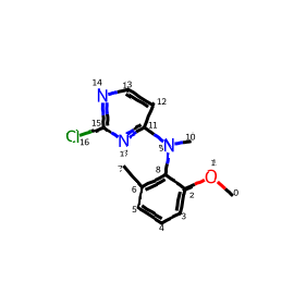 COc1cccc(C)c1N(C)c1ccnc(Cl)n1